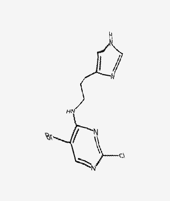 Clc1ncc(Br)c(NCCc2c[nH]cn2)n1